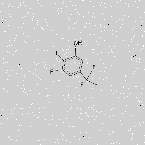 Oc1cc(C(F)(F)F)cc(F)c1I